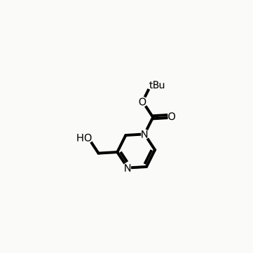 CC(C)(C)OC(=O)N1C=CN=C(CO)C1